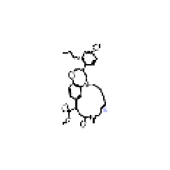 CCCc1cc(Cl)ccc1C1COc2ccc3cc2N(CCCC/C=C/CN(C)C(=O)CC3C(=O)OC)C1